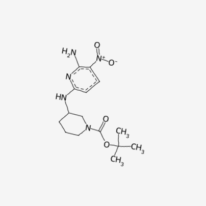 CC(C)(C)OC(=O)N1CCCC(Nc2ccc([N+](=O)[O-])c(N)n2)C1